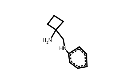 NC1(CNc2ccccc2)CCC1